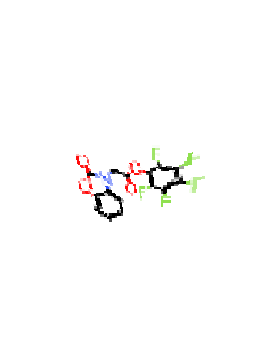 O=C(Cn1c(=O)oc2ccccc21)Oc1c(F)c(F)c(F)c(F)c1F